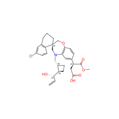 C=C[C@H](O)[C@@H]1CC[C@H]1CN1C[C@@]2(CCCc3cc(Cl)ccc32)COc2ccc([C@H](CC(=O)O)C(=O)OC)cc21